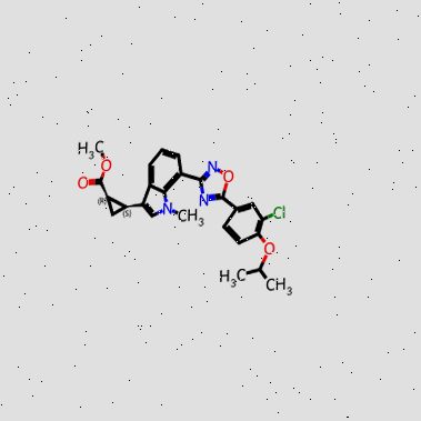 COC(=O)[C@@H]1C[C@@H]1c1cn(C)c2c(-c3noc(-c4ccc(OC(C)C)c(Cl)c4)n3)cccc12